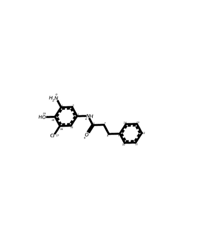 Nc1cc(NC(=O)CCc2ccccc2)cc(Cl)c1O